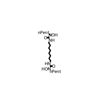 CCCCCN(O)C(=O)NCCCCCCCCNC(=O)N(O)CCCCC